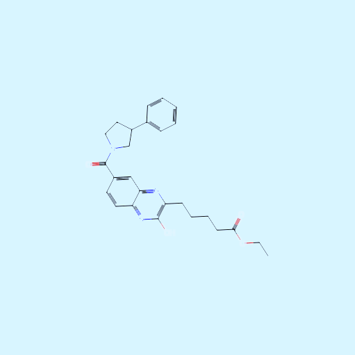 CCOC(=O)CCCCc1nc2cc(C(=O)N3CCC(c4ccccc4)C3)ccc2nc1O